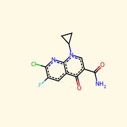 NC(=O)c1cn(C2CC2)c2nc(Cl)c(F)cc2c1=O